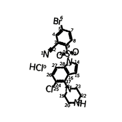 Cl.N#Cc1cc(Br)ccc1S(=O)(=O)n1ccc2c(N3CCNCC3)c(Cl)ccc21